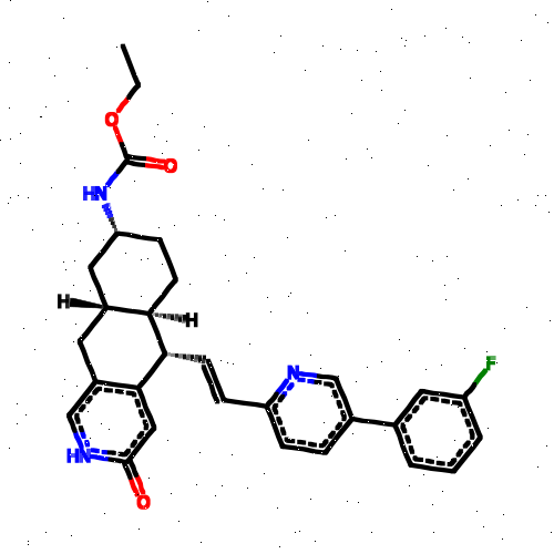 CCOC(=O)N[C@@H]1CC[C@@H]2[C@H](Cc3c[nH]c(=O)cc3[C@H]2/C=C/c2ccc(-c3cccc(F)c3)cn2)C1